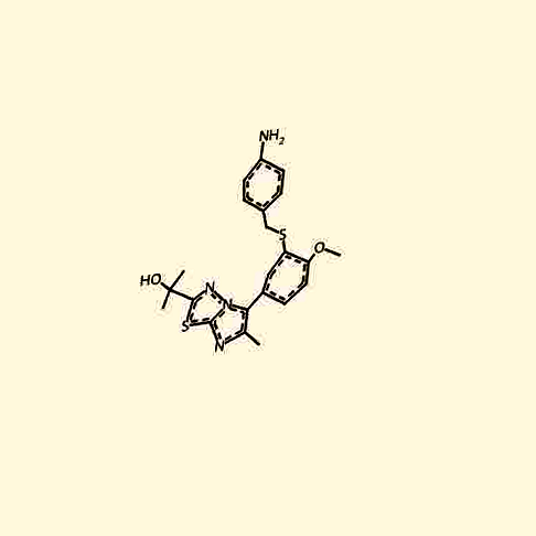 COc1ccc(-c2c(C)nc3sc(C(C)(C)O)nn23)cc1SCc1ccc(N)cc1